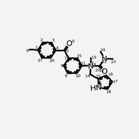 Cc1ccc(C(=O)c2cccc([N+](C)(Cc3ccc[nH]3)C(=O)N(C)C)c2)cc1